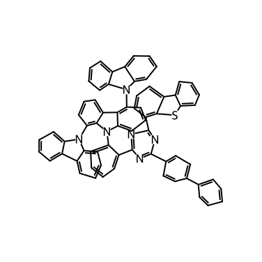 c1ccc(-c2ccc(-c3nc(-c4ccccc4-n4c5cccc(-n6c7ccccc7c7ccccc76)c5c5cccc(-n6c7ccccc7c7ccccc76)c54)nc(-c4cccc5c4sc4ccccc45)n3)cc2)cc1